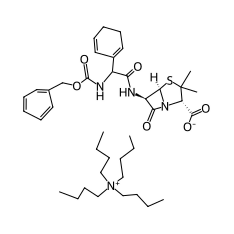 CC1(C)S[C@@H]2[C@H](NC(=O)C(NC(=O)OCc3ccccc3)C3=CCCC=C3)C(=O)N2[C@H]1C(=O)[O-].CCCC[N+](CCCC)(CCCC)CCCC